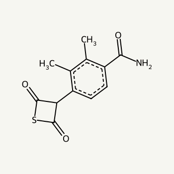 Cc1c(C(N)=O)ccc(C2C(=O)SC2=O)c1C